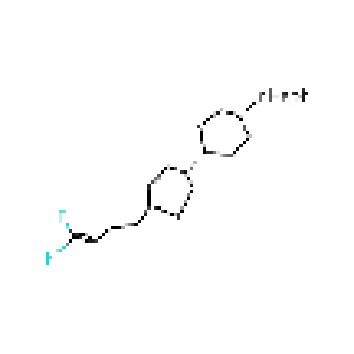 CCCCCCC[C@H]1CC[C@H](C2CCC(CCC=C(F)F)CC2)CC1